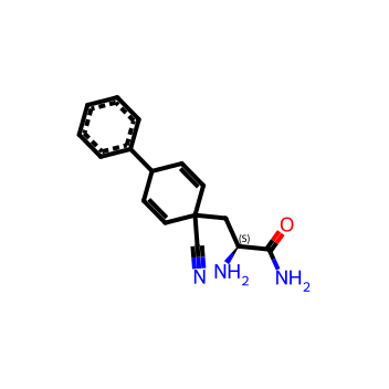 N#CC1(C[C@H](N)C(N)=O)C=CC(c2ccccc2)C=C1